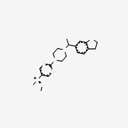 CN=S(C)(=O)c1cnc(N2CCN(C(C)c3ccc4c(c3)OCC4)CC2)nc1